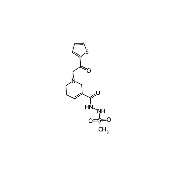 CS(=O)(=O)NNC(=O)C1=CCCN(CC(=O)c2cccs2)C1